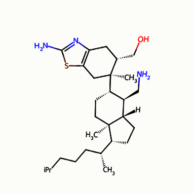 CC(C)CCC[C@@H](C)[C@H]1CC[C@H]2[C@H](CN)[C@@H]([C@@]3(C)Cc4sc(N)nc4C[C@@H]3CO)CC[C@]12C